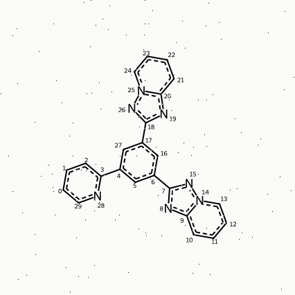 c1ccc(-c2cc(-c3nc4ccccn4n3)cc(-c3nc4ccccn4n3)c2)nc1